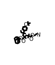 CCC(C)(CC(C)(CC(C)(C)C(=O)OCCN(C)C)C(=O)OC12CC3CC(CC(C3)C1)C2)c1ccc(OC(C)(C)C)cc1